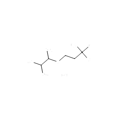 CC(C)(C)C(O)C(N)SCCC(F)(C(F)(F)F)C(F)(F)F.Cl